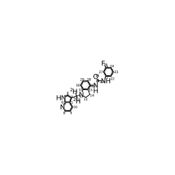 [2H]C([2H])(c1c[nH]c2ncccc12)N1CCc2c(NC(=O)Nc3cccc(F)c3)cccc21